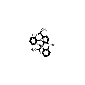 CC(C)c1ccc2c([n+]1-c1ccccc1)P(=O)(C(C)C)c1ccccc1[S+]2[O-]